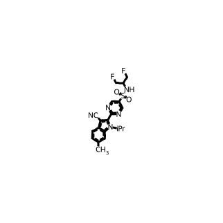 Cc1ccc2c(C#N)c(-c3ncc(S(=O)(=O)NC(CF)CF)cn3)n(C(C)C)c2c1